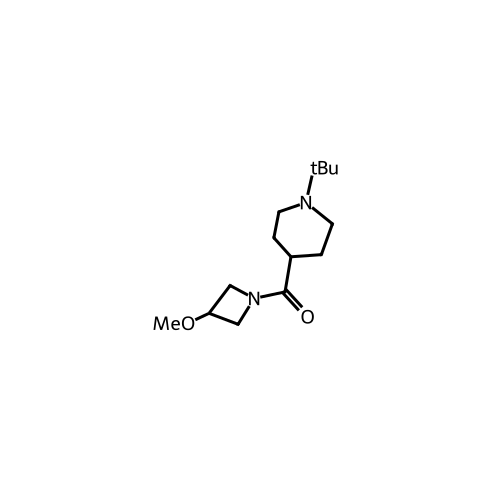 COC1CN(C(=O)C2CCN(C(C)(C)C)CC2)C1